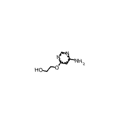 Nc1cc(OCCO)ncn1